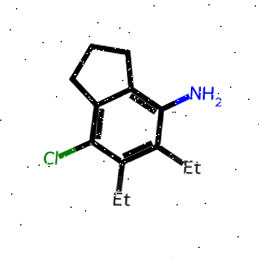 CCc1c(N)c2c(c(Cl)c1CC)CCC2